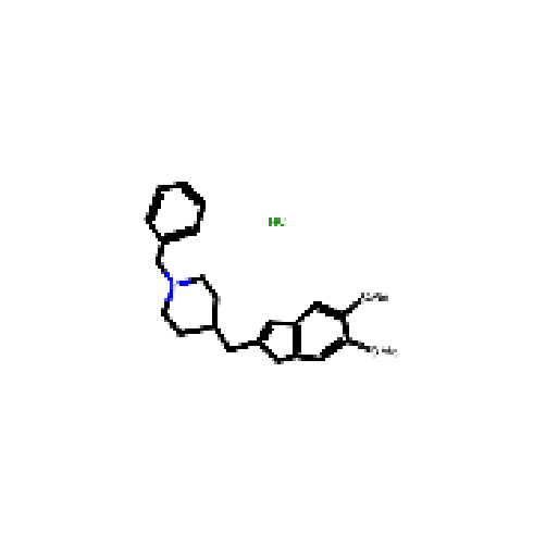 COc1cc2c(cc1OC)CC(CC1CCN(Cc3ccccc3)CC1)=C2.Cl